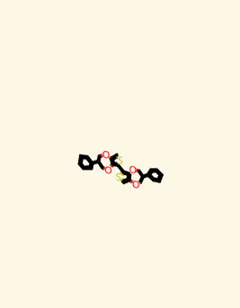 c1ccc(C2COc3csc(-c4scc5c4OCC(c4ccccc4)CO5)c3OC2)cc1